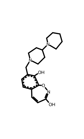 OC1=NOc2c(ccc(CN3CCC(N4CCCCC4)CC3)c2O)C=C1